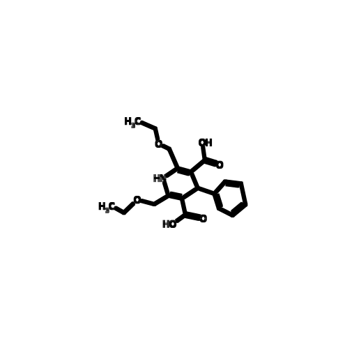 CCOCC1=C(C(=O)O)C(c2ccccc2)C(C(=O)O)=C(COCC)N1